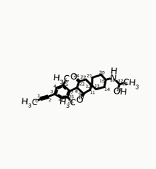 CC#Cc1cc(C)c(C2C(=O)CC3(CCC(NC(C)O)CC3)CC2=O)c(C)c1